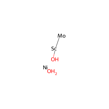 O.[Ni].[OH][Sc][Mo]